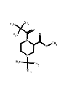 COC(=O)C1CN(C(C)(C)C)CCN1C(=O)C(C)(C)N